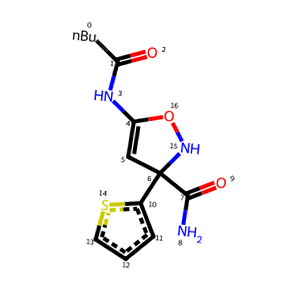 CCCCC(=O)NC1=CC(C(N)=O)(c2cccs2)NO1